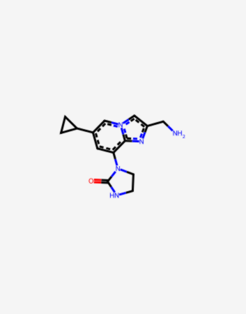 NCc1cn2cc(C3CC3)cc(N3CCNC3=O)c2n1